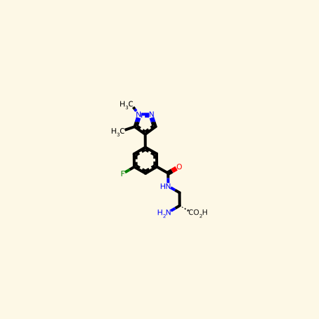 Cc1c(-c2cc(F)cc(C(=O)NC[C@@H](N)C(=O)O)c2)cnn1C